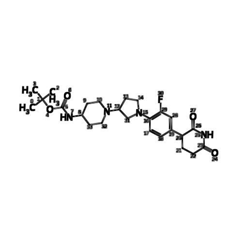 CC(C)(C)OC(=O)NC1CCN(C2CCN(c3ccc(C4CCC(=O)NC4=O)cc3F)C2)CC1